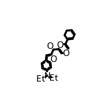 CCN(CC)c1ccc2cc(C(=O)C3=COC=C(C4=CC=CCC4)O3)oc2c1